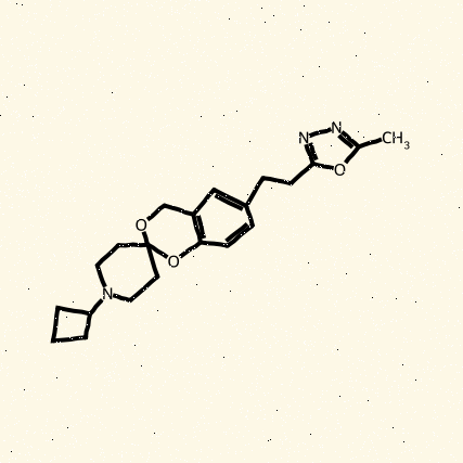 Cc1nnc(CCc2ccc3c(c2)COC2(CCN(C4CCC4)CC2)O3)o1